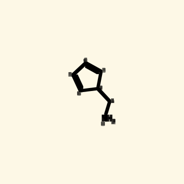 NCC1C=CC=C1